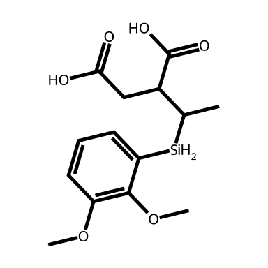 COc1cccc([SiH2]C(C)C(CC(=O)O)C(=O)O)c1OC